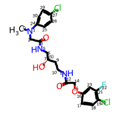 CN(CC(=O)NC[C@@H](O)CCNC(=O)COc1ccc(Cl)c(F)c1)c1ccc(Cl)cc1